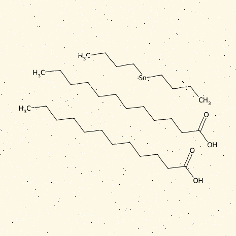 CCCCCCCCCCCC(=O)O.CCCCCCCCCCCC(=O)O.CCC[CH2][Sn][CH2]CCC